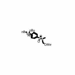 CCC[CH2][Sn]([CH2]CCC)([CH2]CCC)[c]1ccc(S(=O)(=O)N(C)COC)cc1